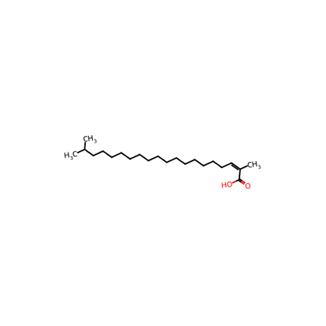 CC(=CCCCCCCCCCCCCCCCC(C)C)C(=O)O